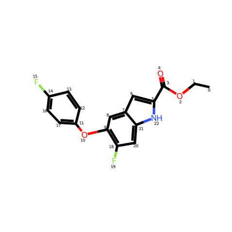 CCOC(=O)c1cc2cc(Oc3ccc(F)cc3)c(F)cc2[nH]1